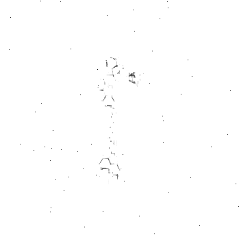 COc1cc(C(=O)N2CCC(C(=O)O[C@H]3CN4CCC3CC4)(c3ccccc3)CC2)ccc1OCCCCCNCC(O)c1ccc(O)c2[nH]c(=O)ccc12